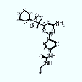 CCNC(=O)Nc1ccc(-c2nc(N)cc(C(C)(C)S(=O)(=O)C3CCCCC3)n2)cc1